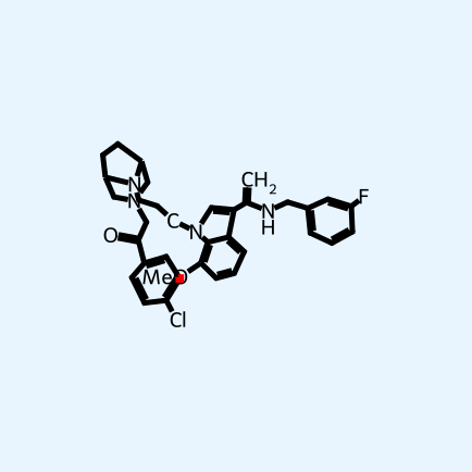 C=C(NCc1cccc(F)c1)c1cn(CCCN2C3CCC2CN(CC(=O)c2ccc(Cl)cc2)C3)c2c(OC)cccc12